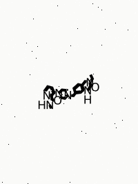 CCN1Cc2ccc(CN3CCN(c4cccnc4C(=O)NC)CC3)cc2NC1=O